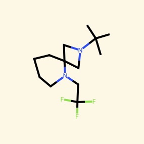 CC(C)(C)N1CC2(CCCCN2CC(F)(F)F)C1